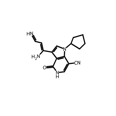 N#Cc1c[nH]c(=O)c2c(/C(N)=C/C=N)cn(C3CCCC3)c12